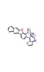 Cc1c(-c2c3sccc3nc[n+]2C)ccc2c1oc1cc3ccccc3cc12